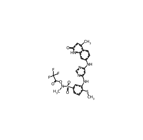 CSc1ccc(S(=O)(=O)N(C)OC(=O)C(F)(F)F)cc1Nc1cc(Nc2ccc3c(C)cc(=O)[nH]c3c2)ncn1